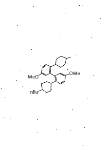 CCCCC1CCC(c2ccc(OC)cc2-c2cc(OC)ccc2C2CCC(C)CC2)CC1